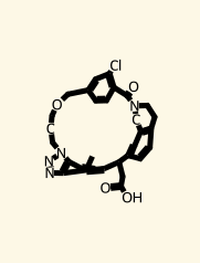 Cc1c2ccc3c1nnn3CCCOCc1ccc(c(Cl)c1)C(=O)N1CCc3ccc(cc3C1)C2CC(=O)O